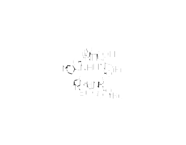 CCC(Cn1nc(C)cc1C)C(=O)NN(CCC(=O)NC(CC(C)C)C(O)CC(C)C(=O)NC(C(=O)NCc1ccncc1)C(C)C)C(=O)OC(C)(C)C